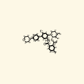 C[C@H]1CN(c2cc(F)c(-c3cnc(N4CCOCC4)nc3)cc2NC(=O)c2ccc(F)cc2C(F)F)CCN1C